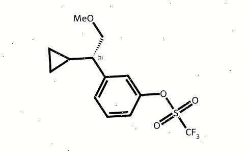 COC[C@H](c1cccc(OS(=O)(=O)C(F)(F)F)c1)C1CC1